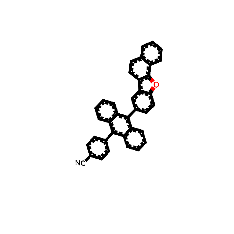 N#Cc1ccc(-c2c3ccccc3c(-c3ccc4oc5c6ccccc6ccc5c4c3)c3ccccc23)cc1